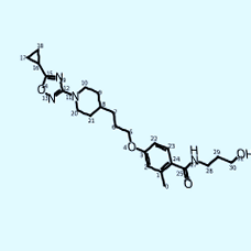 Cc1cc(OCCCC2CCN(c3noc(C4CC4)n3)CC2)ccc1C(=O)NCCCO